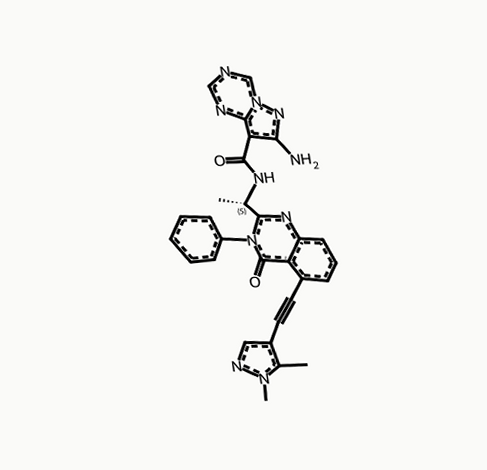 Cc1c(C#Cc2cccc3nc([C@H](C)NC(=O)c4c(N)nn5cncnc45)n(-c4ccccc4)c(=O)c23)cnn1C